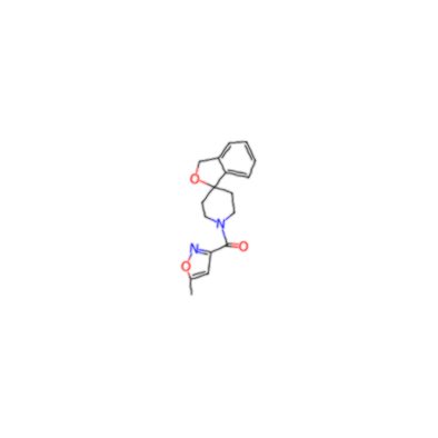 Cc1cc(C(=O)N2CCC3(CC2)OCc2ccccc23)no1